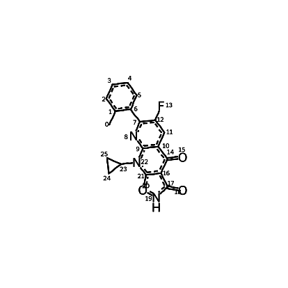 Cc1ccccc1-c1nc2c(cc1F)c(=O)c1c(=O)[nH]oc1n2C1CC1